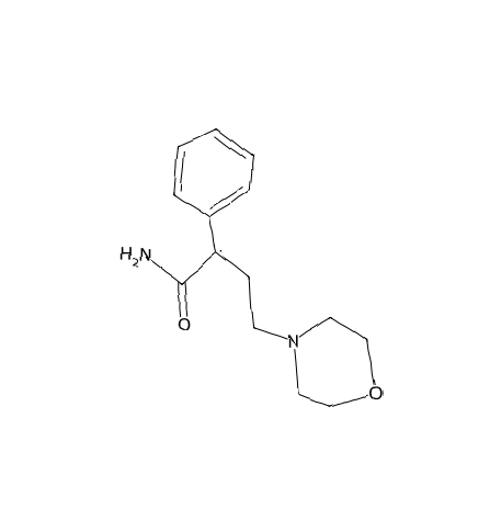 NC(=O)[C](CCN1CCOCC1)c1ccccc1